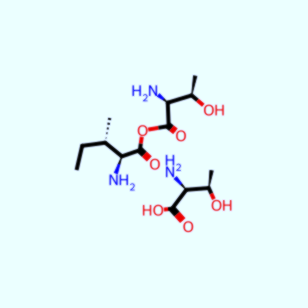 CC[C@H](C)[C@H](N)C(=O)OC(=O)[C@@H](N)[C@@H](C)O.C[C@@H](O)[C@H](N)C(=O)O